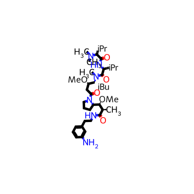 CC[C@H](C)[C@@H]([C@@H](CC(=O)N1CCCC1[C@H](OC)[C@@H](C)C(=O)NCCc1cccc(N)c1)OC)N(C)C(=O)C(NC(=O)C(C(C)C)N(C)C)C(C)C